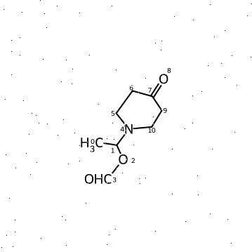 CC(OC=O)N1CCC(=O)CC1